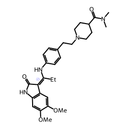 CC/C(Nc1ccc(CCN2CCC(C(=O)N(C)C)CC2)cc1)=C1/C(=O)Nc2cc(OC)c(OC)cc21